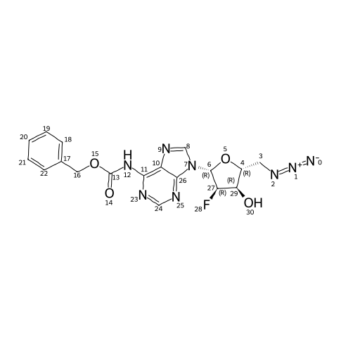 [N-]=[N+]=NC[C@H]1O[C@@H](n2cnc3c(NC(=O)OCc4ccccc4)ncnc32)[C@H](F)[C@@H]1O